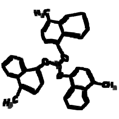 Cc1ccc(OB(Oc2ccc(C)c3ccccc23)Oc2ccc(C)c3ccccc23)c2ccccc12